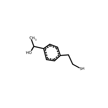 CC(O)c1ccc(CCS)cc1